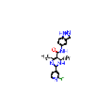 CCCC1NC(c2ccnc(Cl)c2)=NC(C)=C1C(=O)Nc1ccc2[nH]ncc2c1